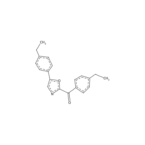 CCc1ccc(C(=O)c2ncc(-c3ccc(CC)cc3)o2)cc1